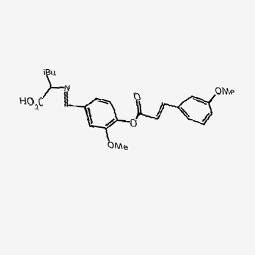 CCC(C)C(/N=C/c1ccc(OC(=O)/C=C/c2cccc(OC)c2)c(OC)c1)C(=O)O